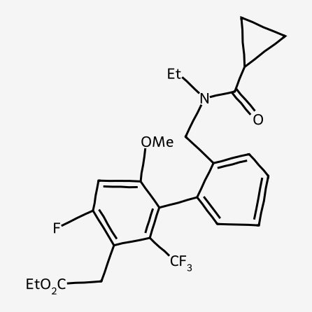 CCOC(=O)Cc1c(F)cc(OC)c(-c2ccccc2CN(CC)C(=O)C2CC2)c1C(F)(F)F